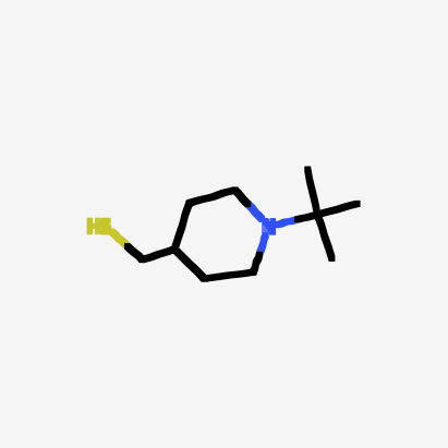 CC(C)(C)N1CCC(CS)CC1